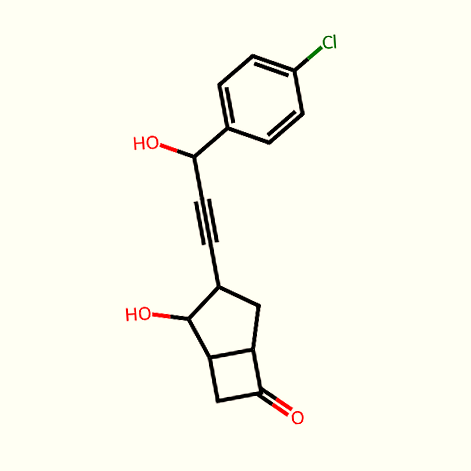 O=C1CC2C1CC(C#CC(O)c1ccc(Cl)cc1)C2O